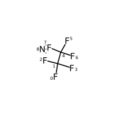 FC(F)(F)C(F)(F)F.[N]